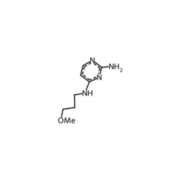 COCCCNc1ccnc(N)n1